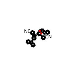 N#Cc1cc(-c2cccc(C#N)c2-n2c3ccccc3c3ccccc32)cc(-n2c3ccc(C#N)cc3c3cc(-n4c5ccccc5c5ccccc54)ccc32)c1